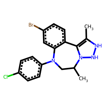 CC1=C2c3ccc(Br)cc3N(c3ccc(Cl)cc3)CC(C)N2NN1